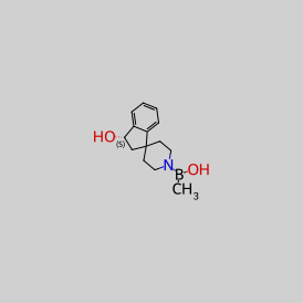 CB(O)N1CCC2(CC1)C[C@H](O)c1ccccc12